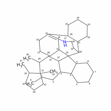 CCCC1C2CCCCC2C2(C3CCCC4=C3NCCC2C2CCCCC42)C1CC(C)C1(C)CCCC1C